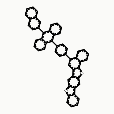 c1ccc2cc(-c3c4ccccc4c(-c4ccc(-c5cc6c7cc8sc9ccccc9c8cc7sc6c6ccccc56)cc4)c4ccccc34)ccc2c1